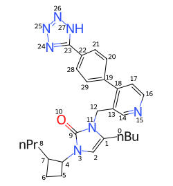 CCCCc1cn(C2CCC2CCC)c(=O)n1Cc1cnccc1-c1ccc(-c2nnn[nH]2)cc1